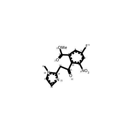 COC(=O)c1cc(F)cc([N+](=O)[O-])c1C(=O)Cc1nccn1C